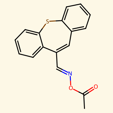 CC(=O)ON=CC1=Cc2ccccc2Sc2ccccc21